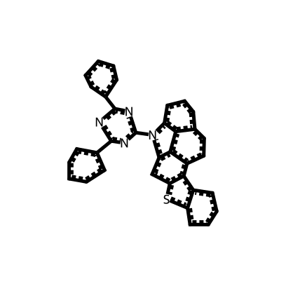 c1ccc(-c2nc(-c3ccccc3)nc(-n3c4cccc5ccc6c7c(cc3c6c54)sc3ccccc37)n2)cc1